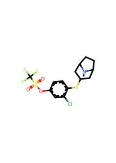 CN1C2CCC1CC(Sc1ccc(OS(=O)(=O)C(F)(F)F)cc1Cl)C2